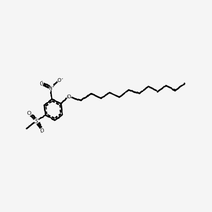 CCCCCCCCCCCCOc1ccc(S(C)(=O)=O)cc1[N+](=O)[O-]